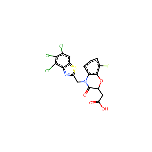 O=C(O)CC1Oc2c(F)cccc2N(Cc2nc3c(Cl)c(Cl)c(Cl)cc3s2)C1=O